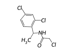 CC(NC(=O)CCl)c1ccc(Cl)cc1Cl